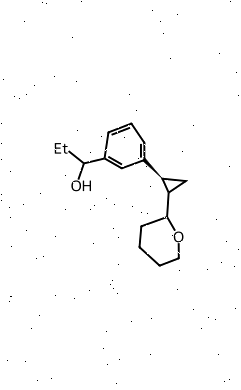 CCC(O)c1cccc([C@H]2CC2C2CCCCO2)c1